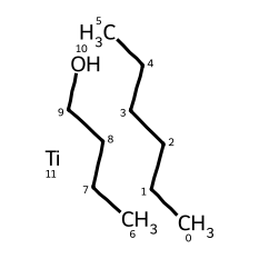 CCCCCC.CCCCO.[Ti]